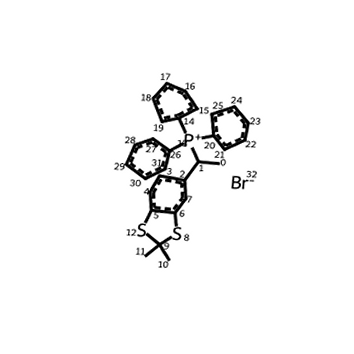 CC(c1ccc2c(c1)SC(C)(C)S2)[P+](c1ccccc1)(c1ccccc1)c1ccccc1.[Br-]